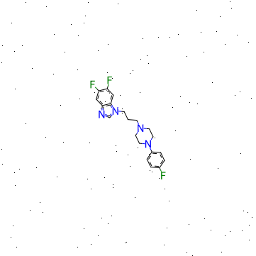 Fc1ccc(N2CCN(CCCn3cnc4cc(F)c(F)cc43)CC2)cc1